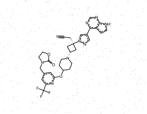 N#CC[C@]1(n2cc(-c3ncnc4[nH]ccc34)cn2)C[C@H](N2CCC(Oc3cc(CN4CCOC4=O)cc(C(F)(F)F)n3)CC2)C1